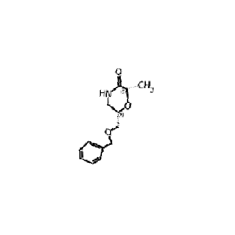 C[C@@H]1O[C@H](COCc2ccccc2)CNC1=O